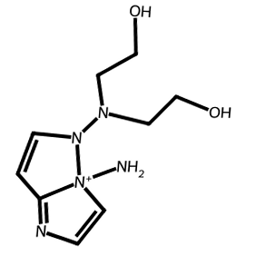 N[N+]12C=CN=C1C=CN2N(CCO)CCO